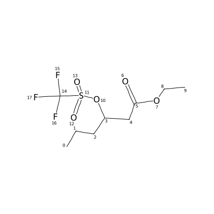 CCCC(CC(=O)OCC)OS(=O)(=O)C(F)(F)F